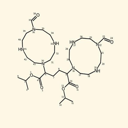 CC(C)OC(=O)C(CCC(C(=O)OC(C)C)N1CCNCCN(C=O)CCNCC1)N1CCNCCN(C=O)CCNCC1